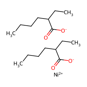 CCCCC(CC)C(=O)[O-].CCCCC(CC)C(=O)[O-].[Ni+2]